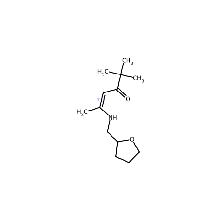 C/C(=C/C(=O)C(C)(C)C)NCC1CCCO1